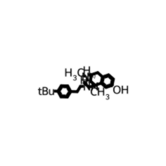 CN1CC[C@@]2(C)c3cc(O)ccc3C[C@@H]1[C@H]2NCCc1ccc(C(C)(C)C)cc1